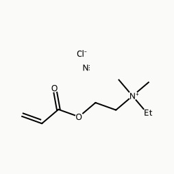 C=CC(=O)OCC[N+](C)(C)CC.[Cl-].[N]